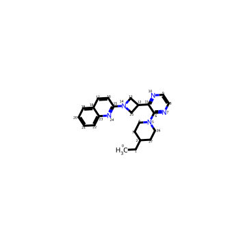 CCC1CCN(c2nccnc2C2CN(c3ccc4ccccc4n3)C2)CC1